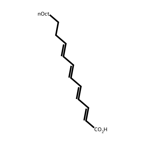 CCCCCCCCCC/C=C/C=C/C=C/C=C/C(=O)O